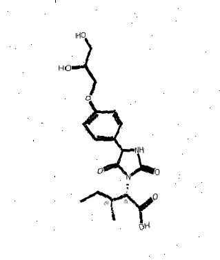 CC[C@H](C)[C@@H](C(=O)O)N1C(=O)NC(c2ccc(OCC(O)CO)cc2)C1=O